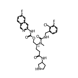 CN(C(=O)NCc1cccc(F)c1Cl)[C@@H](CCC(=O)NC1CCNC1)COC(=O)Nc1cc2cc(F)ccc2cn1